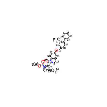 CN(C(=O)OC(C)(C)C)[C@H](CC(=O)O)C(=O)N1CCc2cc(OCc3ccc(-c4ccccc4)c(C(F)(F)F)c3)ccc21